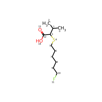 CC(C)C(SCCCCCCF)C(=O)O